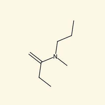 C=C(CC)N(C)CCC